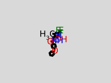 Cc1cc(C(F)(F)F)nc(O)c1CNC(=O)c1ccc(Oc2ccccc2)cc1